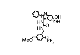 COCc1ccc(OC(F)(F)F)c(CNC(=O)Nc2c3c(nn2-c2ccccc2)CS(O)(O)C3)c1